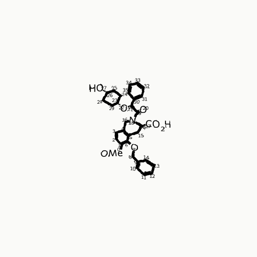 COc1ccc2c(c1OCc1ccccc1)C[C@H](C(=O)O)N(C(=O)[C@H](O[C@H]1CC[C@@H](O)CC1)c1ccccc1)C2